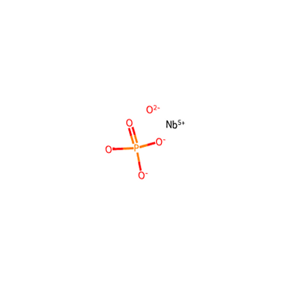 O=P([O-])([O-])[O-].[Nb+5].[O-2]